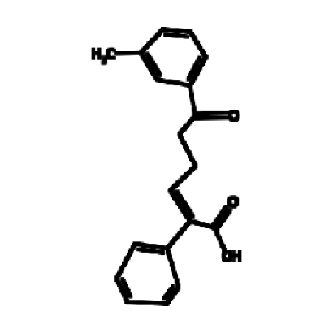 Cc1cccc(C(=O)CCC=C(C(=O)O)c2ccccc2)c1